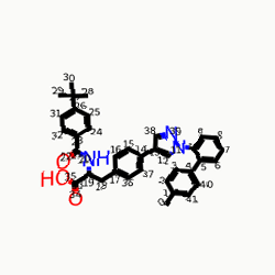 Cc1ccc(-c2ccccc2-n2cc(-c3ccc(CC(NC(=O)c4ccc(C(C)(C)C)cc4)C(=O)O)cc3)cn2)cc1